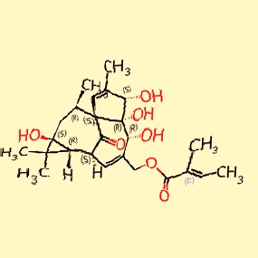 C/C=C(\C)C(=O)OCC1=C[C@@H]2C(=O)[C@]3(C=C(C)[C@H](O)[C@@]3(O)[C@@H]1O)[C@H](C)C[C@]1(O)[C@H]2C1(C)C